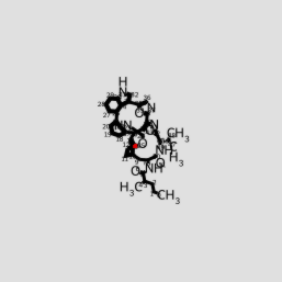 CCCC(C)C(=O)N[C@H]1Cc2ccc3c(c2)[C@]24c5cccc(c5NC2O3)-c2cccc3[nH]cc(c23)-c2cnc(o2)-c2nc(oc24)[C@H](C(C)C)NC1=O